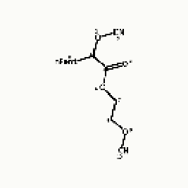 CCCCCC(OC#N)C(=O)OCCOC#N